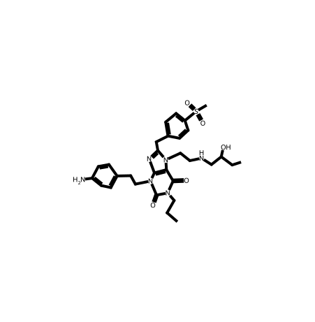 CCCn1c(=O)c2c(nc(Cc3ccc(S(C)(=O)=O)cc3)n2CCNCC(O)CC)n(CCc2ccc(N)cc2)c1=O